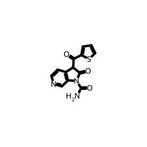 NC(=O)N1C(=O)C(C(=O)c2cccs2)c2ccncc21